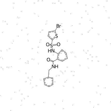 O=C(NCc1ccccc1)c1ccccc1NS(=O)(=O)c1ccc(Br)s1